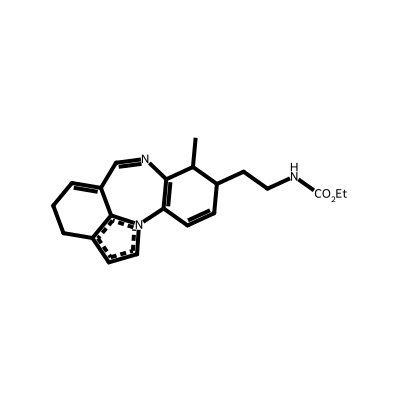 CCOC(=O)NCCC1C=CC2=C(N=CC3=CCCc4ccn2c43)C1C